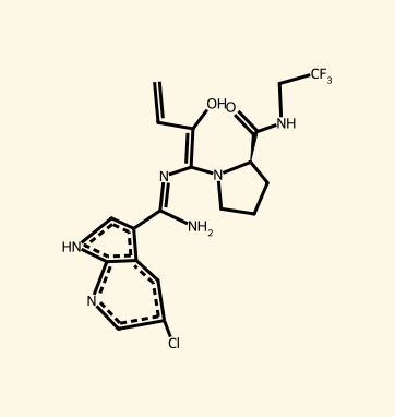 C=C/C(O)=C(\N=C(/N)c1c[nH]c2ncc(Cl)cc12)N1CCC[C@@H]1C(=O)NCC(F)(F)F